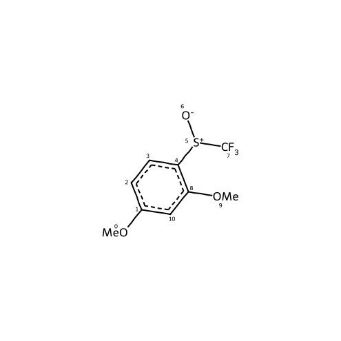 COc1ccc([S+]([O-])C(F)(F)F)c(OC)c1